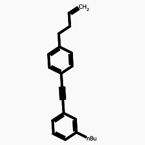 C=CCCc1ccc(C#Cc2c[c]cc(CCCC)c2)cc1